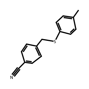 Cc1ccc(SCc2ccc(C#N)cc2)cc1